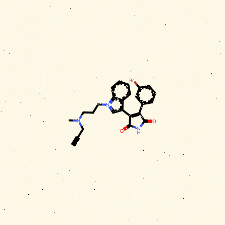 C#CCN(C)CCCn1cc(C2=C(c3cccc(Br)c3)C(=O)NC2=O)c2ccccc21